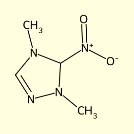 CN1C=NN(C)C1[N+](=O)[O-]